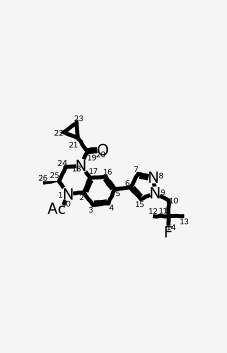 CC(=O)N1c2ccc(-c3cnn(CC(C)(C)F)c3)cc2N(C(=O)C2CC2)C[C@@H]1C